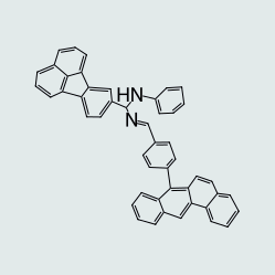 C(=N\C(Nc1ccccc1)c1ccc2c(c1)-c1cccc3cccc-2c13)/c1ccc(-c2c3ccccc3cc3c2ccc2ccccc23)cc1